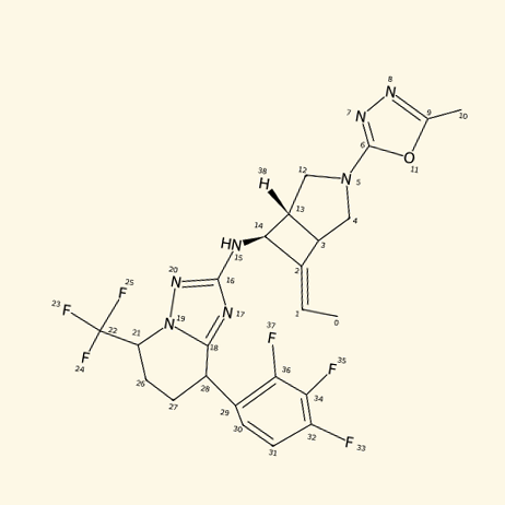 C/C=C1\C2CN(c3nnc(C)o3)C[C@H]2[C@@H]1Nc1nc2n(n1)C(C(F)(F)F)CCC2c1ccc(F)c(F)c1F